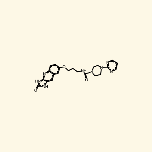 O=C(NCCCOc1ccc2nc3[nH]c(=O)[nH]c3cc2c1)N1CCN(c2ncccn2)CC1